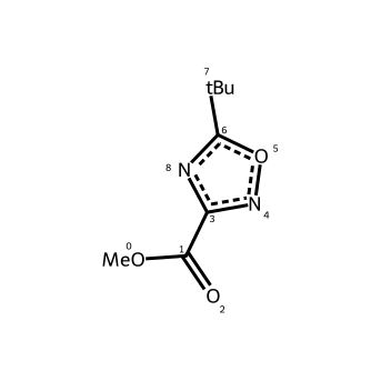 COC(=O)c1noc(C(C)(C)C)n1